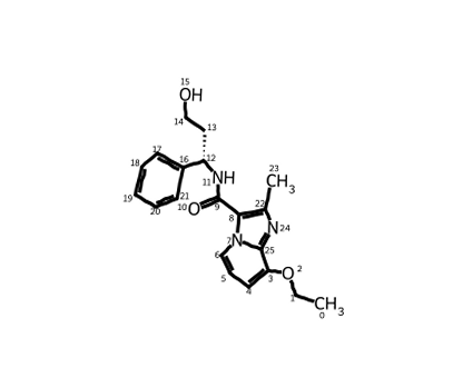 CCOc1cccn2c(C(=O)N[C@@H](CCO)c3ccccc3)c(C)nc12